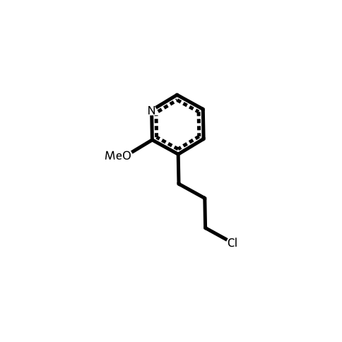 COc1ncccc1CCCCl